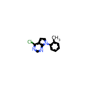 Cc1ccccc1-n1ccc2c(Cl)ncnc21